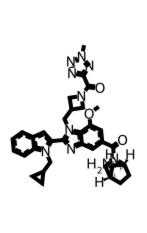 COc1cc(C(=O)N2C[C@H]3CC[C@@H]2[C@@H]3N)cc2nc(-c3cc4ccccc4n3CC3CC3)n(CC3CN(C(=O)c4nnn(C)n4)C3)c12